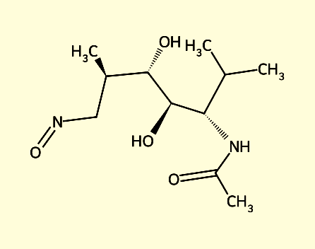 CC(=O)N[C@@H](C(C)C)[C@@H](O)[C@@H](O)[C@H](C)CN=O